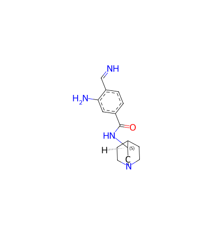 N=Cc1ccc(C(=O)N[C@@H]2CN3CCC2CC3)cc1N